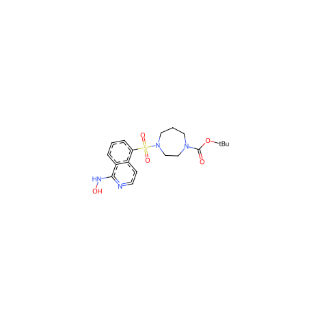 CC(C)(C)OC(=O)N1CCCN(S(=O)(=O)c2cccc3c(NO)nccc23)CC1